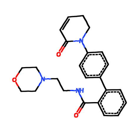 O=C(NCCN1CCOCC1)c1ccccc1-c1ccc(N2CCC=CC2=O)cc1